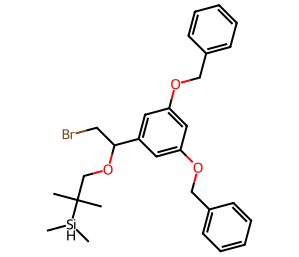 C[SiH](C)C(C)(C)COC(CBr)c1cc(OCc2ccccc2)cc(OCc2ccccc2)c1